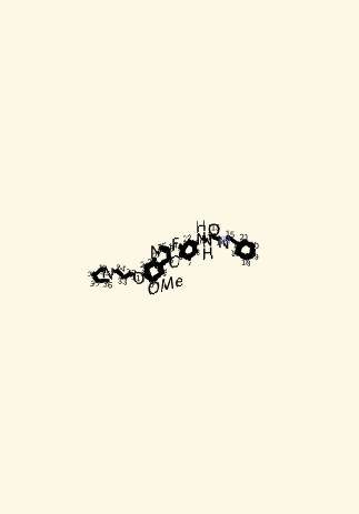 COc1cc2c(Oc3ccc(NNC(=O)/N=C/c4ccccc4)cc3F)ccnc2cc1OCCCN1CCCC1